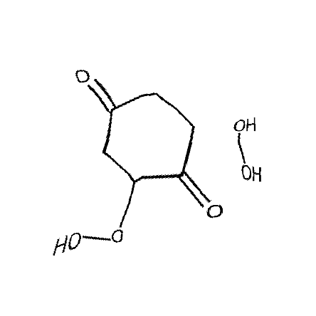 O=C1CCC(=O)C(OO)C1.OO